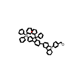 O=Cc1ccc(-n2c3c(c4cc(-c5ccc6c(c5)C(c5ccccc5)(c5ccccc5)c5cc([Si](c7ccccc7)(c7ccccc7)c7ccccc7)ccc5-6)ccc42)C=CCC3)cc1